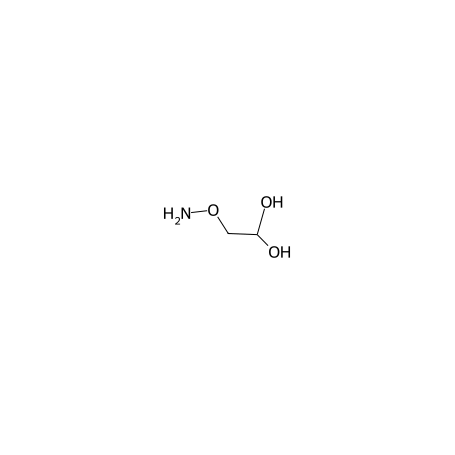 NOCC(O)O